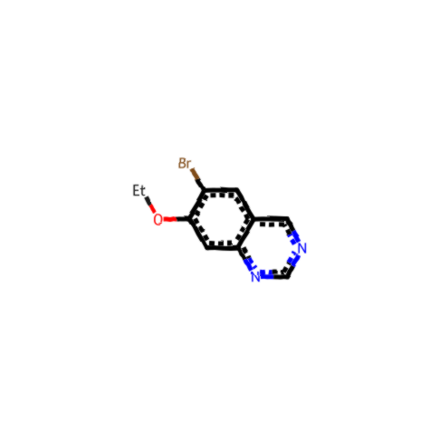 CCOc1cc2ncncc2cc1Br